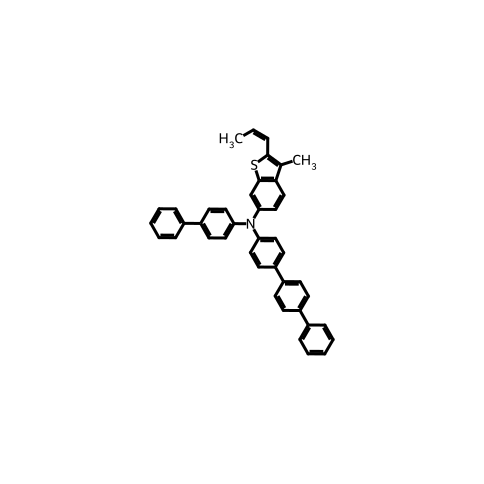 C/C=C\c1sc2cc(N(c3ccc(-c4ccccc4)cc3)c3ccc(-c4ccc(-c5ccccc5)cc4)cc3)ccc2c1C